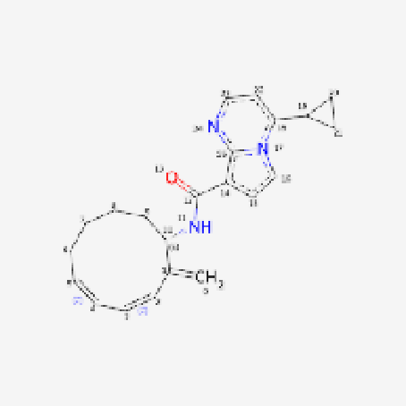 C=C1/C=C\C=C/CCCC[C@@H]1NC(=O)c1ccn2c(C3CC3)ccnc12